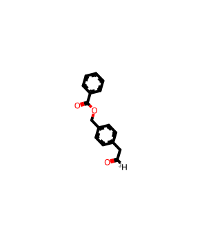 [3H]C(=O)Cc1ccc(COC(=O)c2ccccc2)cc1